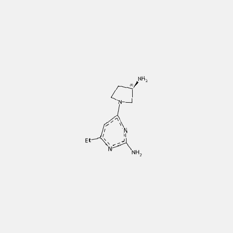 CCc1cc(N2CC[C@@H](N)C2)nc(N)n1